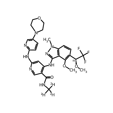 [2H]C([2H])([2H])NC(=O)c1cnc(Nc2ccc(N3CCOCC3)cn2)cc1Nc1nn(C)c2ccc([C@H](OC)C(F)(F)F)c(OC)c12